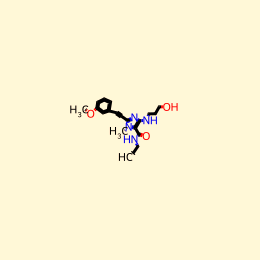 C#CCNC(=O)c1c(NCCCO)nc(C#Cc2cccc(OC)c2)n1C